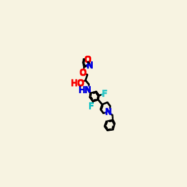 OC(CNc1cc(F)c(C2=CCN(Cc3ccccc3)CC2)c(F)c1)COc1ccon1